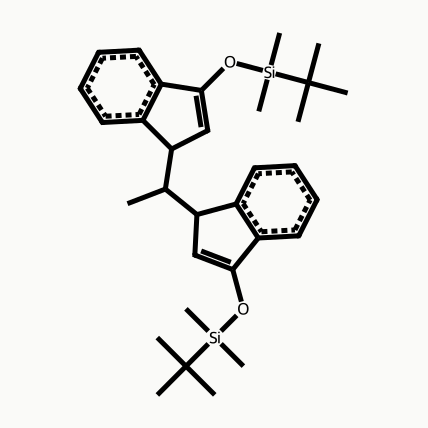 CC(C1C=C(O[Si](C)(C)C(C)(C)C)c2ccccc21)C1C=C(O[Si](C)(C)C(C)(C)C)c2ccccc21